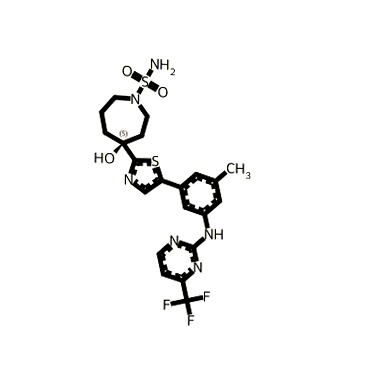 Cc1cc(Nc2nccc(C(F)(F)F)n2)cc(-c2cnc([C@]3(O)CCCN(S(N)(=O)=O)CC3)s2)c1